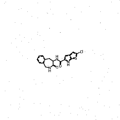 O=C(NC1Cc2ccccc2CNC1=O)c1cc2cc(Cl)sc2[nH]1